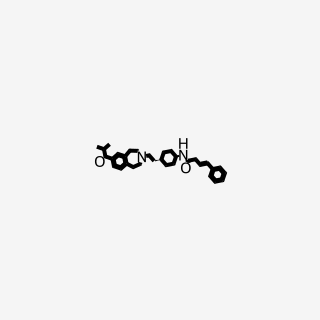 CC(C)C(=O)c1ccc2c(c1)CCN(CC[C@H]1CC[C@H](NC(=O)CC=Cc3ccccc3)CC1)CC2